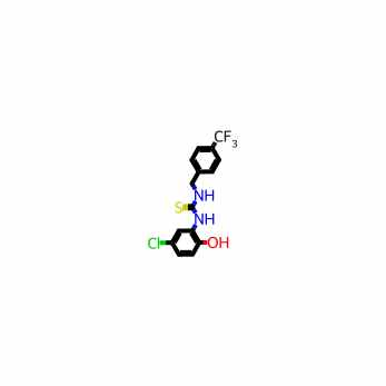 Oc1ccc(Cl)cc1NC(=S)NCc1ccc(C(F)(F)F)cc1